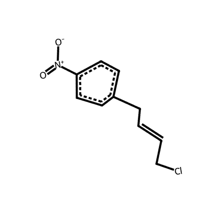 O=[N+]([O-])c1ccc(C/C=C/CCl)cc1